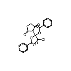 O=C(OC(OC(=O)c1ccccc1)(C(=O)Cl)N1C(=O)CCC1=O)c1ccccc1